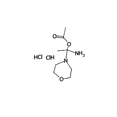 CC(=O)OC(C)(N)N1CCOCC1.Cl.Cl